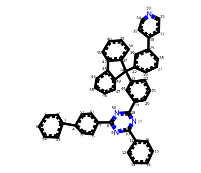 c1ccc(-c2ccc(-c3nc(-c4ccccc4)nc(-c4cccc(C5(c6cccc(-c7ccncc7)c6)c6ccccc6-c6ccccc65)c4)n3)cc2)cc1